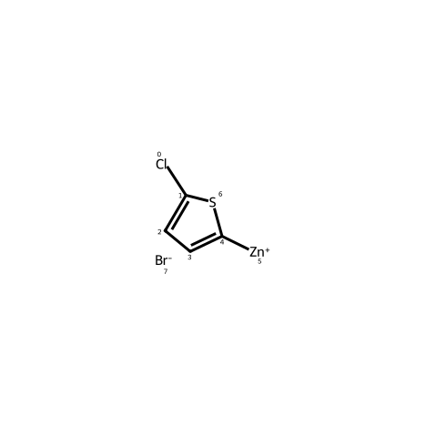 Clc1cc[c]([Zn+])s1.[Br-]